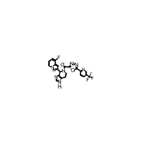 O=C(c1nnc(-c2ccc(C(F)(F)F)cn2)o1)N1CCc2[nH]cnc2C1c1cc2c(F)cccn2n1